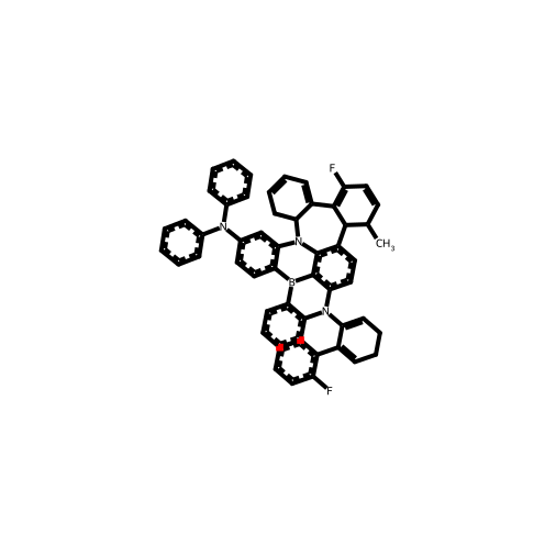 CC1C=CC(F)=C2C3=CC=CCC3N3c4cc(N(c5ccccc5)c5ccccc5)ccc4B4c5ccccc5N(C5=CCCC=C5c5ccccc5F)c5ccc(c3c54)C21